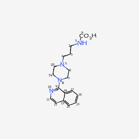 O=C(O)NCCCN1CCN(c2nccc3ccccc23)CC1